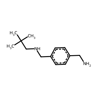 CC(C)(C)CNCc1ccc(CN)cc1